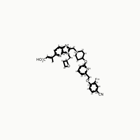 C/C(=C\C(=O)O)c1ccc2nc(CN3CCC(Oc4cccc(COc5ccc(C#N)cc5F)n4)CC3)n(C[C@@H]3CCO3)c2n1